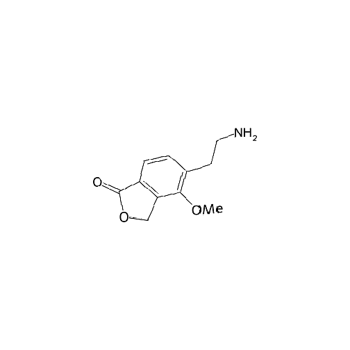 COc1c(CCN)ccc2c1COC2=O